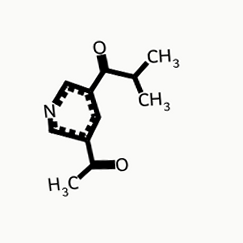 CC(=O)c1cncc(C(=O)C(C)C)c1